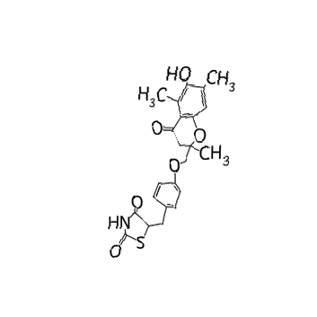 Cc1cc2c(c(C)c1O)C(=O)CC(C)(COc1ccc(CC3SC(=O)NC3=O)cc1)O2